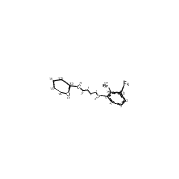 Fc1cccc(OCCCCOC2CCCCO2)c1Br